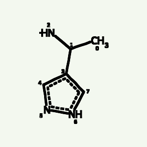 CC([NH])c1cn[nH]c1